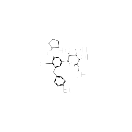 CCc1ccc(Cc2cc([C@@H]3O[C@H](CO)[C@@H](O)[C@H](O)[C@H]3O)cc(OC3CCCC3)c2Cl)cc1